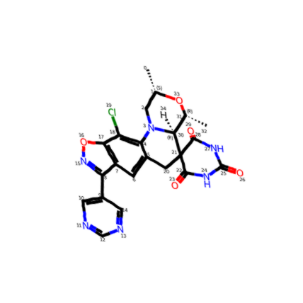 C[C@H]1CN2c3c(cc4c(-c5cncnc5)noc4c3Cl)CC3(C(=O)NC(=O)NC3=O)[C@@H]2[C@@H](C)O1